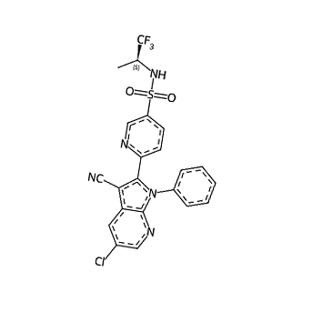 C[C@H](NS(=O)(=O)c1ccc(-c2c(C#N)c3cc(Cl)cnc3n2-c2ccccc2)nc1)C(F)(F)F